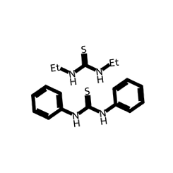 CCNC(=S)NCC.S=C(Nc1ccccc1)Nc1ccccc1